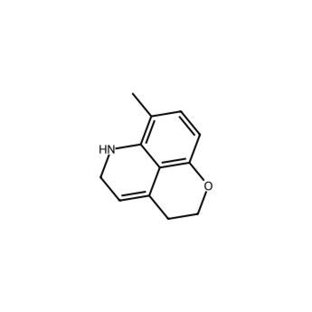 Cc1ccc2c3c1NCC=C3CCO2